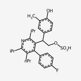 CCCc1c(C(C)C)nc(C(C)C)c(C(COS(=O)(=O)O)c2ccc(O)c(C)c2)c1-c1ccc(F)cc1